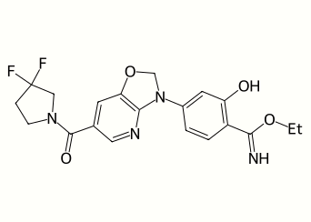 CCOC(=N)c1ccc(N2COc3cc(C(=O)N4CCC(F)(F)C4)cnc32)cc1O